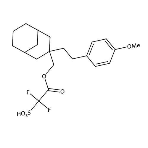 COc1ccc(CCC2(COC(=O)C(F)(F)S(=O)(=O)O)CC3CCCC(C3)C2)cc1